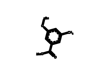 CCCCOc1cc(C)cc(C(=O)OC)c1